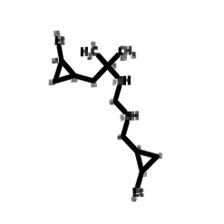 CCC1CC1CBCBC(C)(C)CC1CC1CC